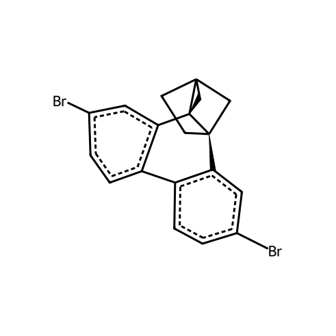 Brc1ccc2c(c1)[C@]13CCC4(C1)C[C@@]43c1cc(Br)ccc1-2